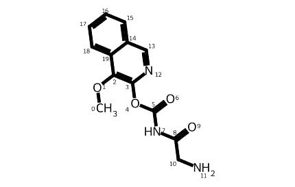 COc1c(OC(=O)NC(=O)CN)ncc2ccccc12